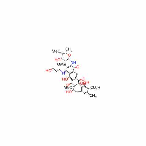 CO[C@@H]1[C@@H](O)[C@@H](OC)[C@@H](NC2=CC(=NCCCO)c3c(cc4c(c3O)C(=O)C3(OC)C(O)Cc5cc(C)c(C(=O)O)c(O)c5C3(O)C4=O)C2=O)O[C@H]1C